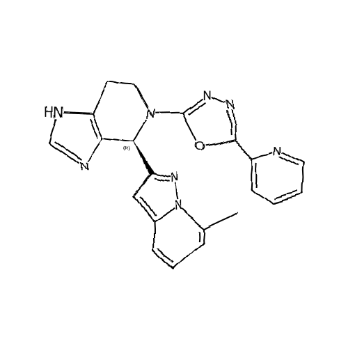 Cc1cccc2cc([C@H]3c4nc[nH]c4CCN3c3nnc(-c4ccccn4)o3)nn12